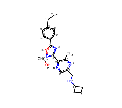 Cc1nc(CNC2CCC2)cnc1-c1noc(-c2ccc(CC(C)C)cc2)n1.O=CO